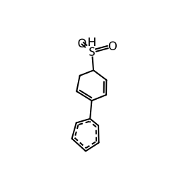 O=[SH](=O)C1C=CC(c2ccccc2)=CC1